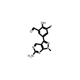 Cn1nc(-c2cc(F)c(O)c(C=O)c2)c2cnc(N)nc21